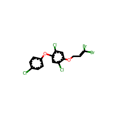 Clc1ccc(Oc2cc(Cl)c(OCC=C(Br)Br)cc2Cl)cc1